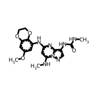 CNC(=O)Nc1cnn2c(NC)cc(Nc3cc(OC)cc4c3OCCO4)nc12